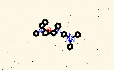 c1ccc(-c2nc(-c3ccccc3)nc(-c3ccc(-n4c5ccccc5c5c6oc7c(ccc8c7c7c9ccccc9ccc7n8-c7ccccc7)c6ccc54)cc3)n2)cc1